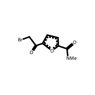 CNC(=O)c1ccc(C(=O)CBr)o1